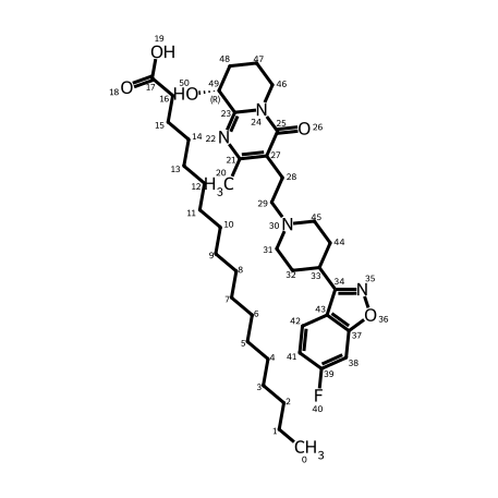 CCCCCCCCCCCCCCCCCC(=O)O.Cc1nc2n(c(=O)c1CCN1CCC(c3noc4cc(F)ccc34)CC1)CCC[C@H]2O